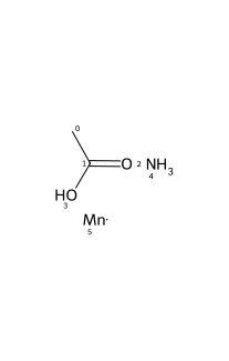 CC(=O)O.N.[Mn]